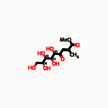 COC(=O)C(C)=CC(=O)[C@H](O)[C@@H](O)[C@H](O)[C@H](O)CO